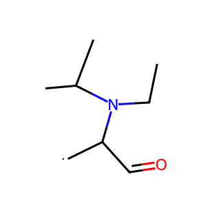 [CH2]C(C=O)N(CC)C(C)C